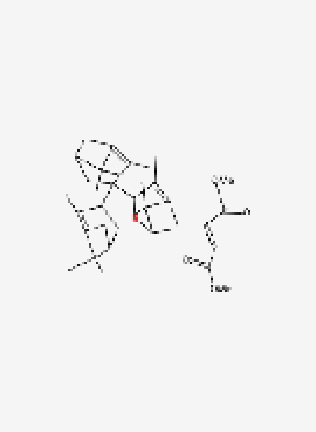 CC1=C2CC(CC1C1(C3CC4CC(=C3C)C4(C)C)CC3CC(=C1C)C3(C)C)C2(C)C.COC(=O)C=CC(=O)OC